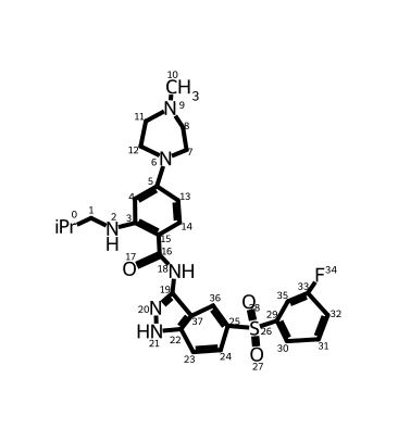 CC(C)CNc1cc(N2CCN(C)CC2)ccc1C(=O)Nc1n[nH]c2ccc(S(=O)(=O)c3cccc(F)c3)cc12